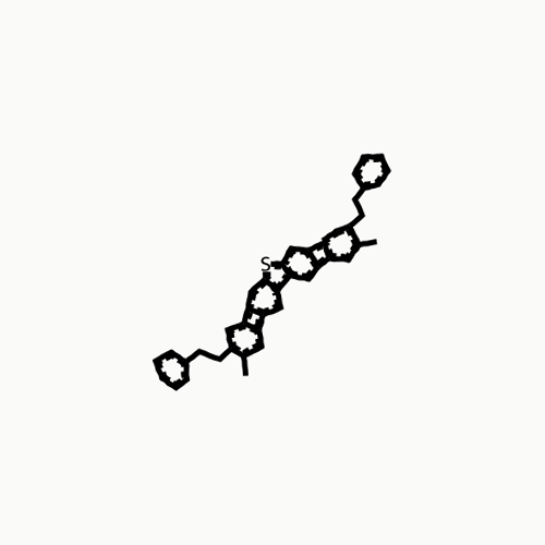 Cc1cc2c(cc1CCc1ccccc1)c1cc3sc4cc5c6cc(CCc7ccccc7)c(C)cc6c5cc4c3cc21